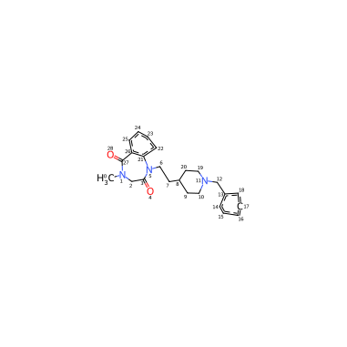 CN1CC(=O)N(CCC2CCN(Cc3ccccc3)CC2)c2ccccc2C1=O